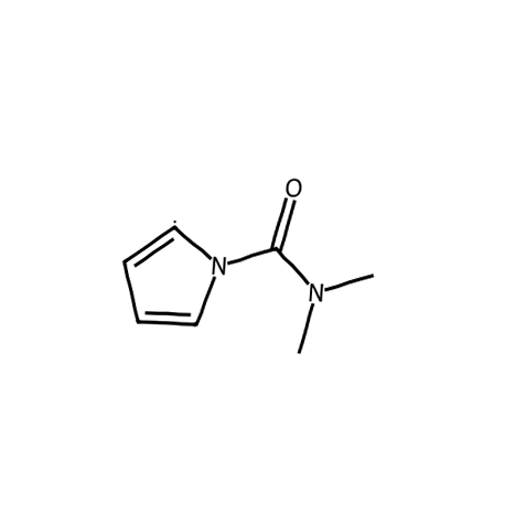 CN(C)C(=O)n1[c]ccc1